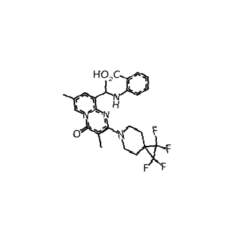 Cc1cc(C(C)Nc2ccccc2C(=O)O)c2nc(N3CCC4(CC3)C(F)(F)C4(F)F)c(C)c(=O)n2c1